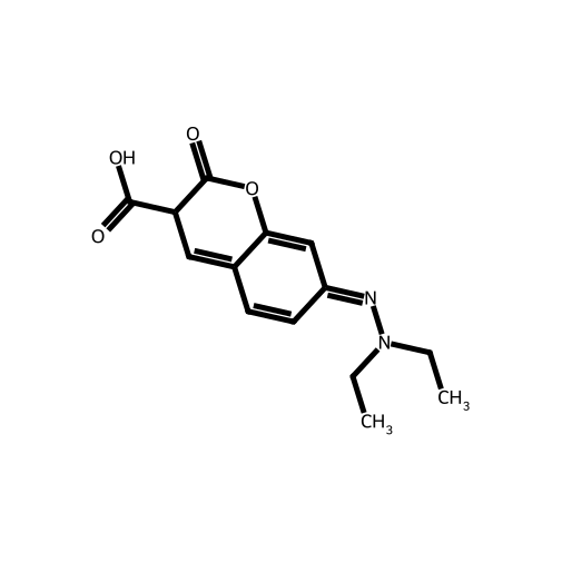 CCN(CC)N=C1C=CC2=CC(C(=O)O)C(=O)OC2=C1